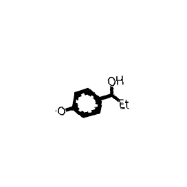 CCC(O)c1ccc([O])cc1